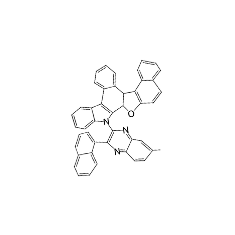 Cc1ccc2nc(-c3cccc4ccccc34)c(-n3c4c(c5ccccc53)-c3ccccc3C3c5c(ccc6ccccc56)OC43)nc2c1